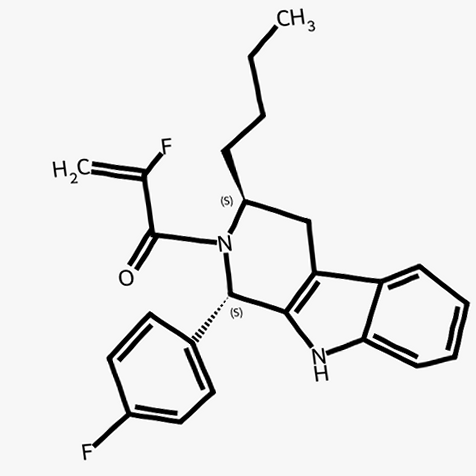 C=C(F)C(=O)N1[C@@H](CCCC)Cc2c([nH]c3ccccc23)[C@@H]1c1ccc(F)cc1